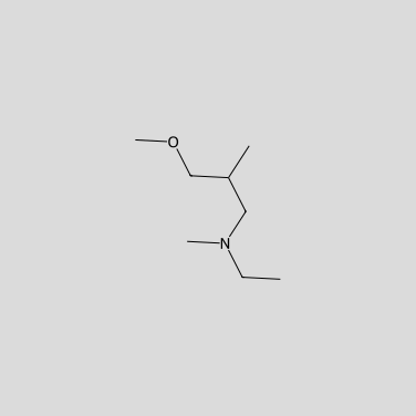 CCN(C)CC(C)COC